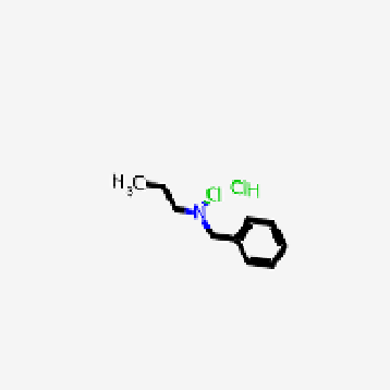 CCCN(Cl)Cc1ccccc1.Cl